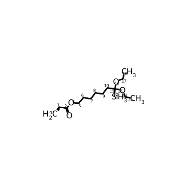 C=CC(=O)OCCCCCCC([SiH3])(OCC)OCC